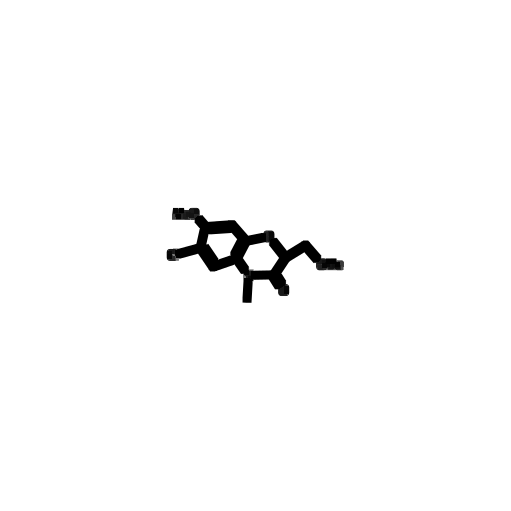 COCC1Oc2cc(OC)c(Cl)cc2N(C)C1=O